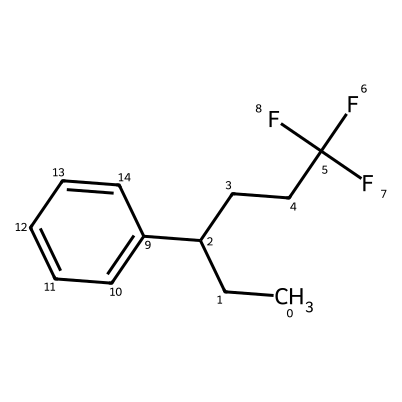 CCC(CCC(F)(F)F)c1ccccc1